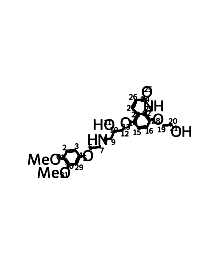 COc1ccc(OCCNCC(O)COc2ccc(OCCO)c3[nH]c(=O)ccc23)cc1OC